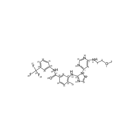 COCCNc1cc(-n2ncnc2Nc2cc(C(=O)Nc3cccc(C(F)(F)F)c3)ccc2C)ncn1